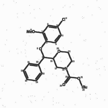 COc1cc(Cl)ccc1OC(c1ccccc1)C1CN(C(=O)OC(C)(C)C)CCO1